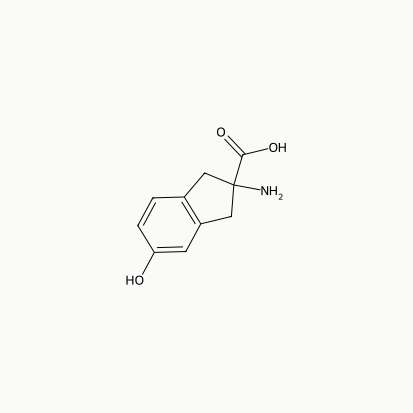 NC1(C(=O)O)Cc2ccc(O)cc2C1